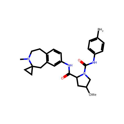 Bc1ccc(NC(=O)N2CC(OC)CC2C(=O)Nc2ccc3c(c2)CC2(CC2)N(C)CC3)cc1